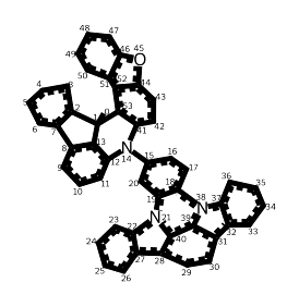 CC12c3ccccc3-c3cccc(c31)N(c1ccc3c(c1)n1c4ccccc4c4ccc5c6ccccc6n3c5c41)c1ccc3oc4ccccc4c3c12